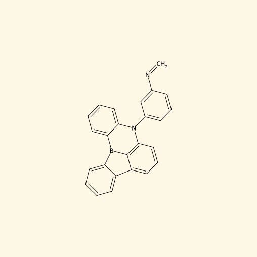 C=Nc1cccc(N2c3ccccc3B3c4ccccc4-c4cccc2c43)c1